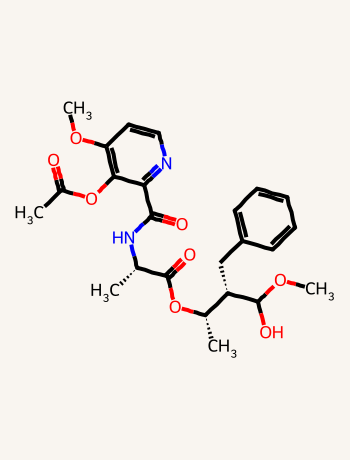 COc1ccnc(C(=O)N[C@@H](C)C(=O)O[C@@H](C)[C@H](Cc2ccccc2)C(O)OC)c1OC(C)=O